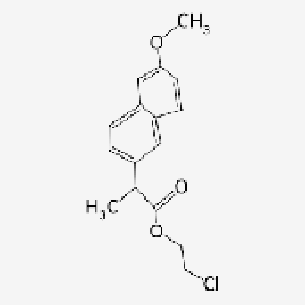 COc1ccc2cc(C(C)C(=O)OCCCl)ccc2c1